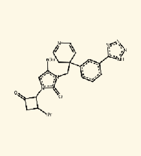 CCCCc1cn(C2C(=O)CC2C(C)C)c(=O)n1CC1(c2cccc(-c3nnn[nH]3)c2)C=CN=CC1